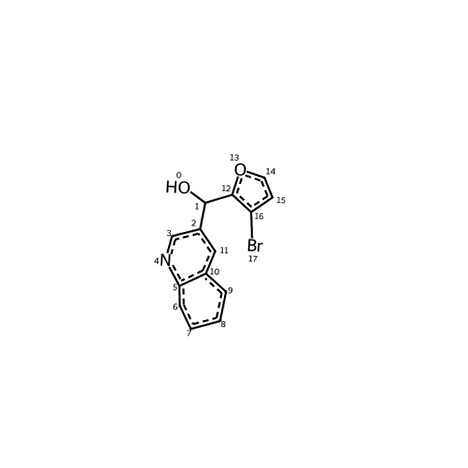 OC(c1cnc2ccccc2c1)c1occc1Br